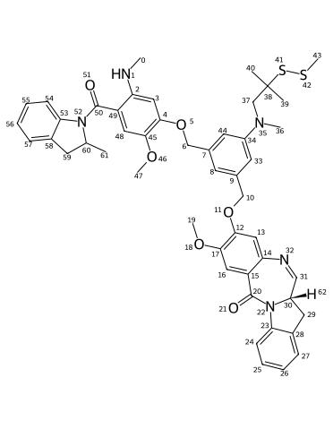 CNc1cc(OCc2cc(COc3cc4c(cc3OC)C(=O)N3c5ccccc5C[C@H]3C=N4)cc(N(C)CC(C)(C)SSC)c2)c(OC)cc1C(=O)N1c2ccccc2CC1C